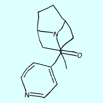 CC1CC2CCC(C1)N2C(=O)c1ccncc1